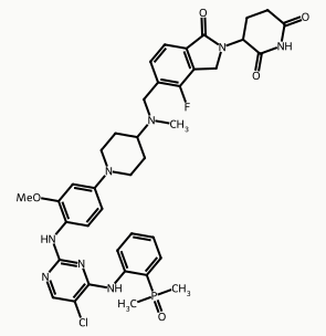 COc1cc(N2CCC(N(C)Cc3ccc4c(c3F)CN(C3CCC(=O)NC3=O)C4=O)CC2)ccc1Nc1ncc(Cl)c(Nc2ccccc2P(C)(C)=O)n1